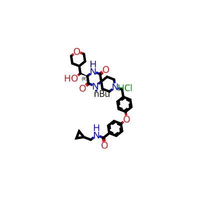 CCCCN1C(=O)[C@@H](C(O)C2CCOCC2)NC(=O)C12CCN(Cc1ccc(Oc3ccc(C(=O)NCC4CC4)cc3)cc1)CC2.Cl